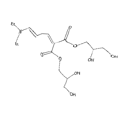 CCN(/C=C/C=C(C(=O)OCC(O)CO)C(=O)OCC(O)CO)CC